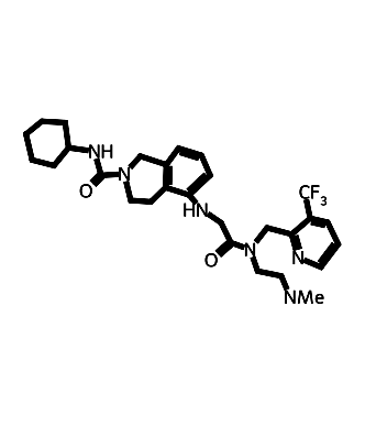 CNCCN(Cc1ncccc1C(F)(F)F)C(=O)CNc1cccc2c1CCN(C(=O)NC1CCCCC1)C2